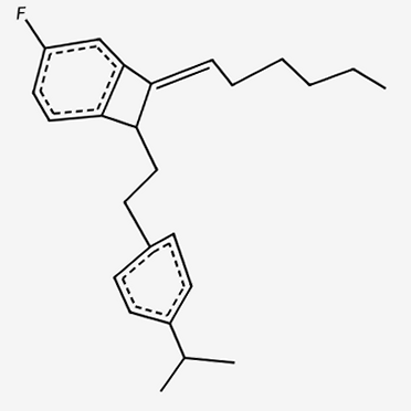 CCCCCC=C1c2cc(F)ccc2C1CCc1ccc(C(C)C)cc1